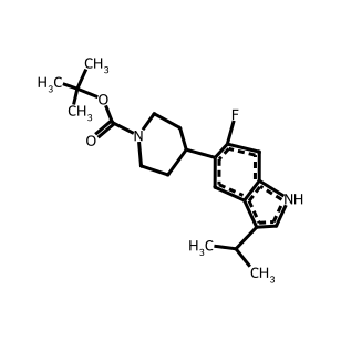 CC(C)c1c[nH]c2cc(F)c(C3CCN(C(=O)OC(C)(C)C)CC3)cc12